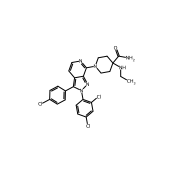 CCNC1(C(N)=O)CCN(c2nccc3c(-c4ccc(Cl)cc4)n(-c4ccc(Cl)cc4Cl)nc23)CC1